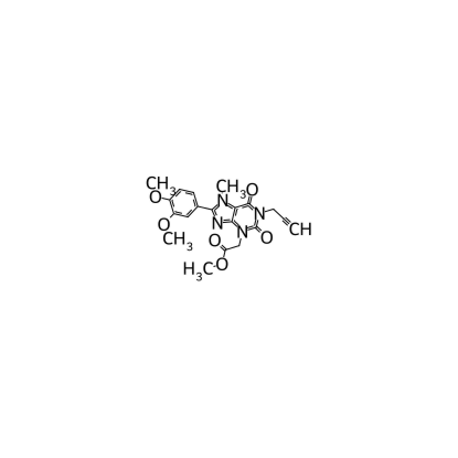 C#CCn1c(=O)c2c(nc(-c3ccc(OC)c(OC)c3)n2C)n(CC(=O)OC)c1=O